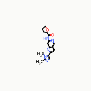 Cc1ncc(-c2ccc3cnc(NC(=O)C4CCCO4)cc3n2)n1C